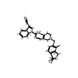 Cc1c(CN2CCc3nc(-n4cc(C#N)c5ccccc54)ncc3C2)ccc2c1COC2=O